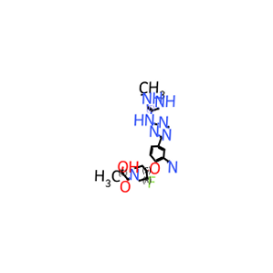 CCN/C=C(\C=N)Nc1ncnc(-c2ccc(O[C@H]3CCN(C(=O)[C@H](C)O)C[C@H]3F)c(C#N)c2)n1